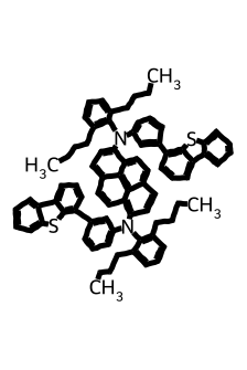 CCCCc1cccc(CCCC)c1N(c1cccc(-c2cccc3c2sc2ccccc23)c1)c1ccc2ccc3c(N(c4cccc(-c5cccc6c5sc5ccccc56)c4)c4c(CCCC)cccc4CCCC)ccc4ccc1c2c43